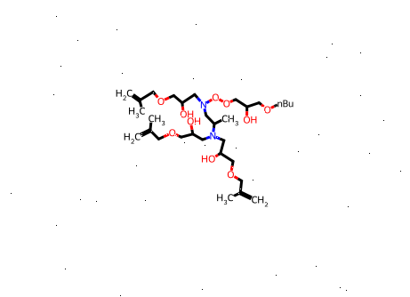 C=C(C)COCC(O)CN(CC(C)N(CC(O)COCC(=C)C)CC(O)COCC(=C)C)OOCC(O)COCCCC